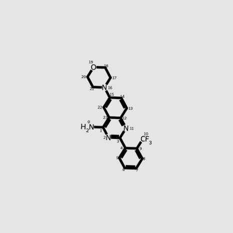 Nc1nc(-c2ccccc2C(F)(F)F)nc2ccc(N3CCOCC3)cc12